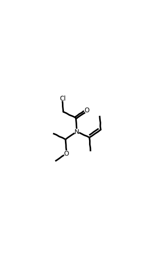 CC=C(C)N(C(=O)CCl)C(C)OC